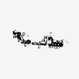 COc1cccc2c1C(=O)c1c(O)c3c(c(O)c1C2=O)CC(C(=O)COC(=O)CCCC(=O)NCCOCCOc1cccc(C(=O)N2CCN(C(=O)C(=O)c4c[nH]c5c(-c6ccco6)ccc(OC)c45)CC2)c1)C[C@@H]3O[C@@H]1C[C@H](N)[C@H](O)[C@H](C)O1